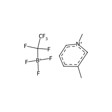 Cc1ccc[n+](C)c1.F[B-](F)(F)C(F)(F)C(F)(F)F